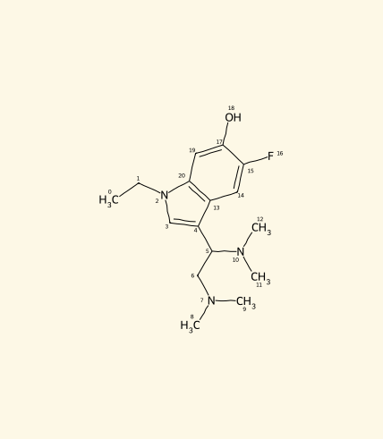 CCn1cc(C(CN(C)C)N(C)C)c2cc(F)c(O)cc21